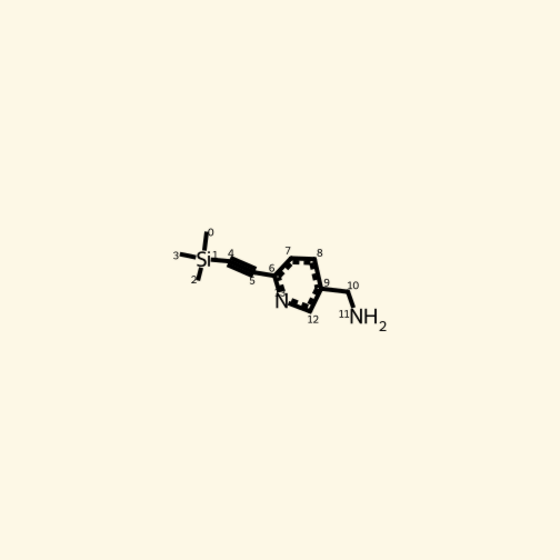 C[Si](C)(C)C#Cc1ccc(CN)cn1